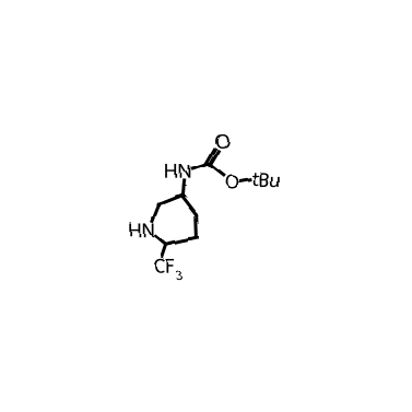 CC(C)(C)OC(=O)NC1CCC(C(F)(F)F)NC1